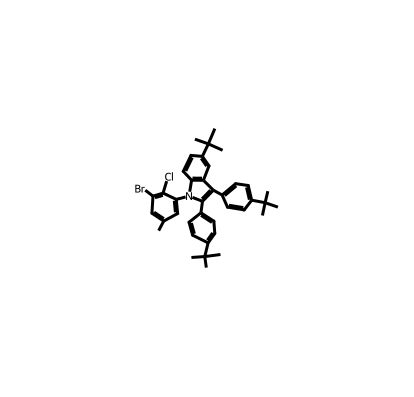 Cc1cc(Br)c(Cl)c(-n2c(-c3ccc(C(C)(C)C)cc3)c(-c3ccc(C(C)(C)C)cc3)c3cc(C(C)(C)C)ccc32)c1